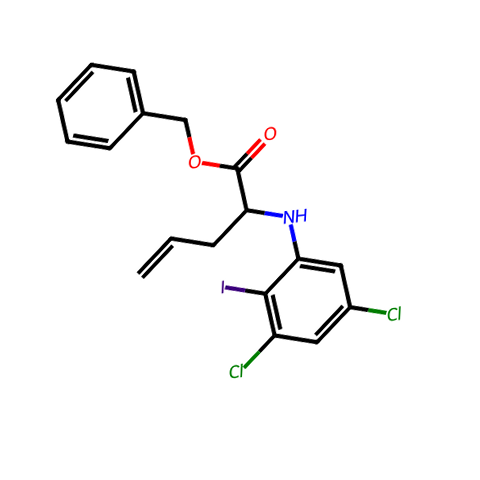 C=CCC(Nc1cc(Cl)cc(Cl)c1I)C(=O)OCc1ccccc1